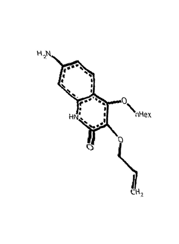 C=CCOc1c(OCCCCCC)c2ccc(N)cc2[nH]c1=O